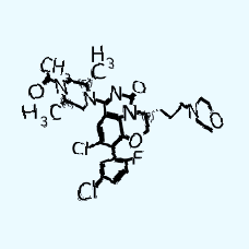 CC(=O)N1C[C@H](C)N(c2nc(=O)n3c4c(c(-c5cc(Cl)ccc5F)c(Cl)cc24)OC[C@H]3CCCN2CCOCC2)C[C@H]1C